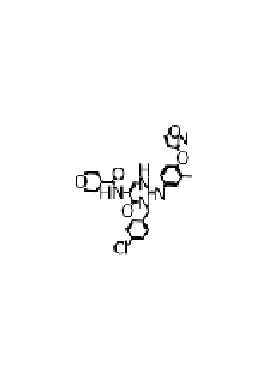 Cc1cc(/N=c2\[nH]cc(NC(=O)C3CCOCC3)c(=O)n2Cc2ccc(Cl)cc2)ccc1Oc1ccon1